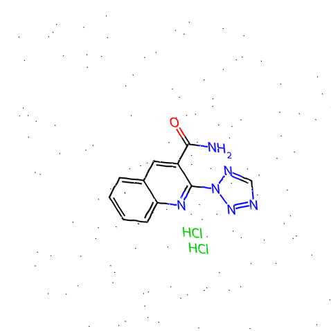 Cl.Cl.NC(=O)c1cc2ccccc2nc1-n1ncnn1